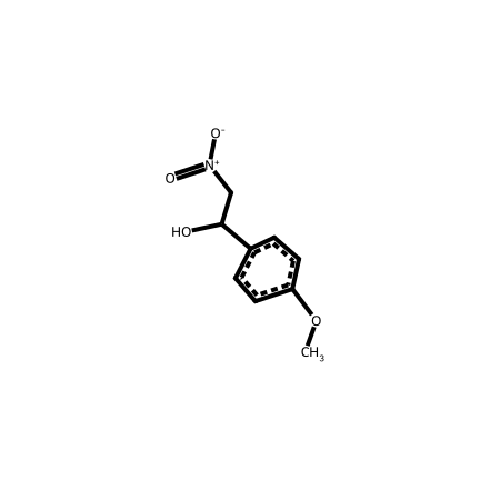 COc1ccc(C(O)C[N+](=O)[O-])cc1